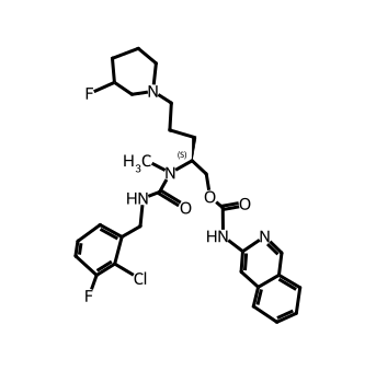 CN(C(=O)NCc1cccc(F)c1Cl)[C@@H](CCCN1CCCC(F)C1)COC(=O)Nc1cc2ccccc2cn1